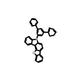 C1=CCCC(c2cc(-c3ccccc3)cc(-n3c4ccccc4c4c5oc6ccccc6c5ccc43)c2)=C1